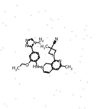 CCOc1cc(-c2nncn2C)ccc1NN1C=Cc2cc(C)nc(N3CC(C)(C#N)C3)c2C1